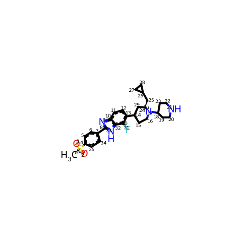 CS(=O)(=O)c1ccc(-c2nc3ccc(C4CCN(C5CCNCC5)[C@H](CC5CC5)C4)c(F)c3[nH]2)cc1